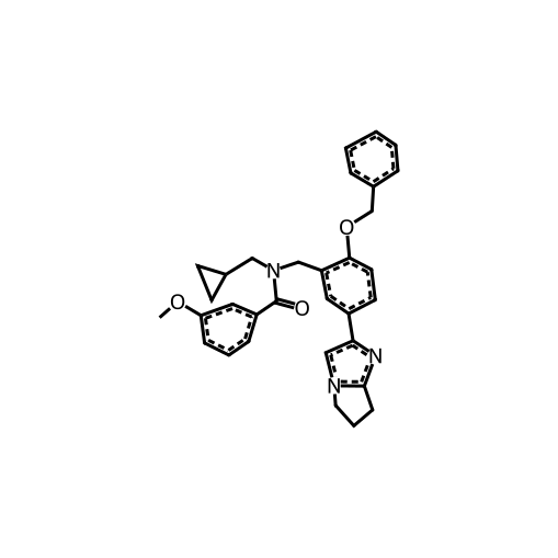 COc1cccc(C(=O)N(Cc2cc(-c3cn4c(n3)CCC4)ccc2OCc2ccccc2)CC2CC2)c1